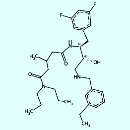 CCCN(CCC)C(=O)CC(C)CC(=O)N[C@@H](Cc1cc(F)cc(F)c1)[C@H](O)CNCc1cccc(CC)c1